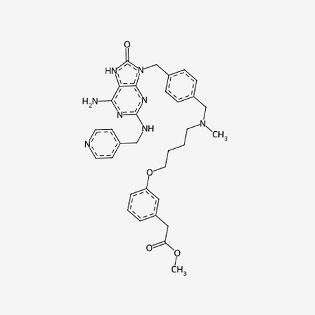 COC(=O)Cc1cccc(OCCCCN(C)Cc2ccc(Cn3c(=O)[nH]c4c(N)nc(NCc5ccncc5)nc43)cc2)c1